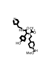 COBN1CCC(CCN(C(=O)C(F)(F)F)C(C(=O)NCCc2ccncc2)c2ccc(O)cc2)CC1